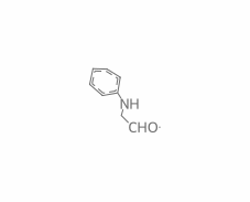 O=[C]CNc1ccccc1